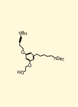 CCCCC#CCCOc1cc(CCCCCCCCCCCCCCC)cc(OCCO)c1